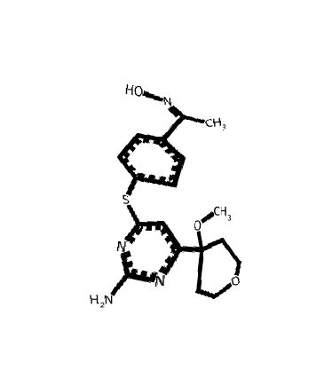 COC1(c2cc(Sc3ccc(/C(C)=N\O)cc3)nc(N)n2)CCOCC1